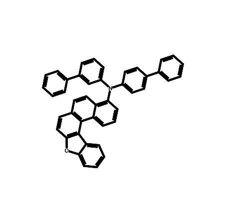 c1ccc(-c2ccc(N(c3cccc(-c4ccccc4)c3)c3cccc4c3ccc3ccc5oc6ccccc6c5c34)cc2)cc1